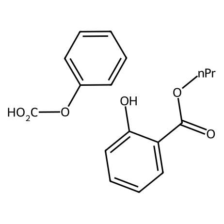 CCCOC(=O)c1ccccc1O.O=C(O)Oc1ccccc1